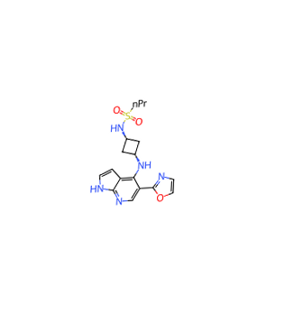 CCCS(=O)(=O)N[C@H]1C[C@@H](Nc2c(-c3ncco3)cnc3[nH]ccc23)C1